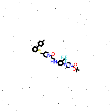 Cc1ccc(-c2ccccc2SCC2CCN(C(=O)CCNc3ccc(N4CCN(C(=O)OC(C)(C)C)CC4)c(C(F)(F)F)c3)CC2)cc1